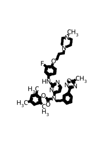 Cc1cc(C)c(OC(=O)N(Cc2cccc(-c3noc(C)n3)c2)c2ccnc(Nc3ccc(OCCCN4CCN(C)CC4)c(F)c3)n2)c(C)c1